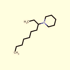 CCCCCCCC(CC)N1CCCCC1